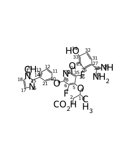 CC(CC(=O)O)Oc1c(F)c(Oc2cccc(-c3nccn3C)c2)nc(Oc2cc(C(=N)N)ccc2O)c1F